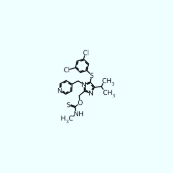 CNC(=S)OCc1nc(C(C)C)c(Sc2cc(Cl)cc(Cl)c2)n1Cc1ccncc1